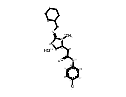 CN1C(=NCC2CCCCC2)SCC1CC(=O)Nc1ccc(Cl)cc1.Cl